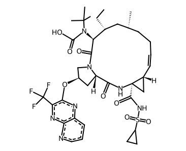 CC[C@@H]1C[C@H](C)CCC=C[C@@H]2C[C@@]2(C(=O)NS(=O)(=O)C2CC2)NC(=O)[C@@H]2C[C@@H](Oc3nc4cccnc4nc3C(F)(F)F)CN2C(=O)[C@H]1N(C(=O)O)C(C)(C)C